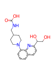 O=C(O)NCC1CCN(c2cccc3ccc(C(O)CO)nc23)CC1